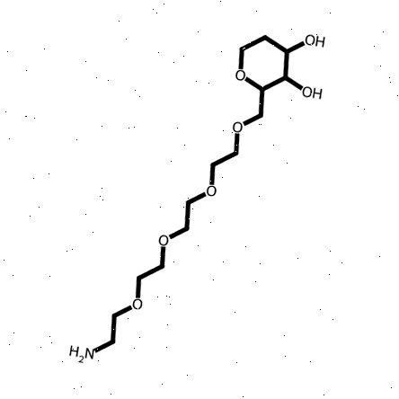 NCCOCCOCCOCCOCC1OCCC(O)C1O